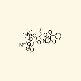 C=CC[C@@H]1[C@H](OP(OCCC#N)N(C(C)C)C(C)C)[C@@H](/C=C/P(=O)(OC)OC)O[C@H]1n1ccc(=O)n(C(=O)c2ccccc2)c1=O